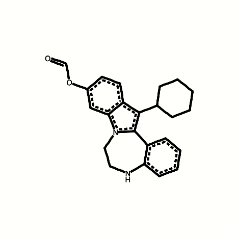 O=COc1ccc2c(C3CCCCC3)c3n(c2c1)CCNc1ccccc1-3